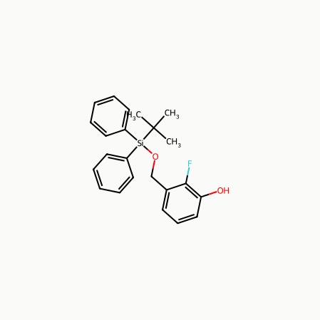 CC(C)(C)[Si](OCc1cccc(O)c1F)(c1ccccc1)c1ccccc1